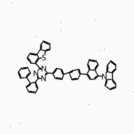 c1ccc(-c2ccccc2-c2nc(-c3ccc(-c4ccc(-c5ccc(-n6c7ccccc7c7ccccc76)c6ccccc56)cc4)cc3)nc(-c3cccc4c3sc3ccccc34)n2)cc1